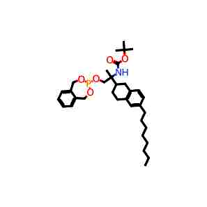 CCCCCCCCc1ccc2c(c1)CCC(C(C)(COP1OCc3ccccc3CO1)NC(=O)OC(C)(C)C)C2